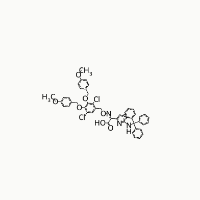 COc1ccc(COc2c(Cl)cc(CON=C(C(=O)O)c3csc(NC(c4ccccc4)(c4ccccc4)c4ccccc4)n3)c(Cl)c2OCc2ccc(OC)cc2)cc1